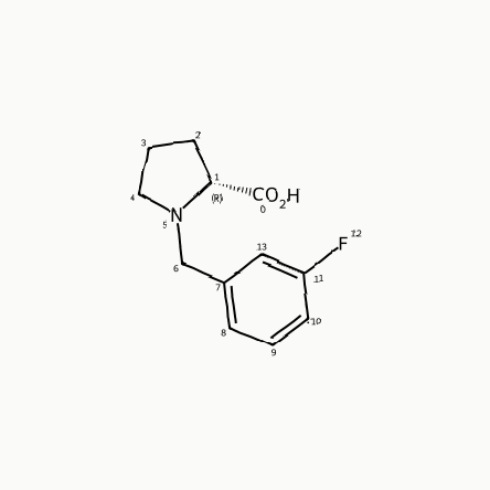 O=C(O)[C@H]1CCCN1Cc1cc[c]c(F)c1